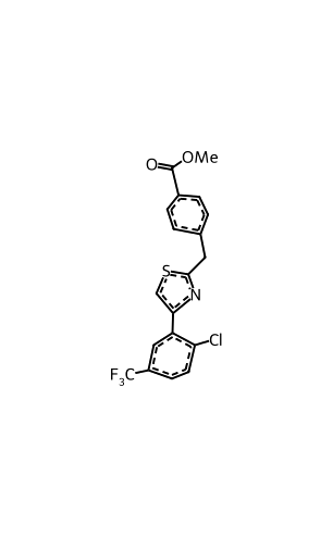 COC(=O)c1ccc(Cc2nc(-c3cc(C(F)(F)F)ccc3Cl)cs2)cc1